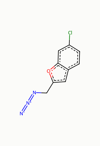 [N-]=[N+]=NCc1cc2ccc(Cl)cc2o1